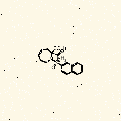 NC(=O)C1(C(=O)O)CC=CCCN1S(=O)(=O)c1ccc2ccccc2c1